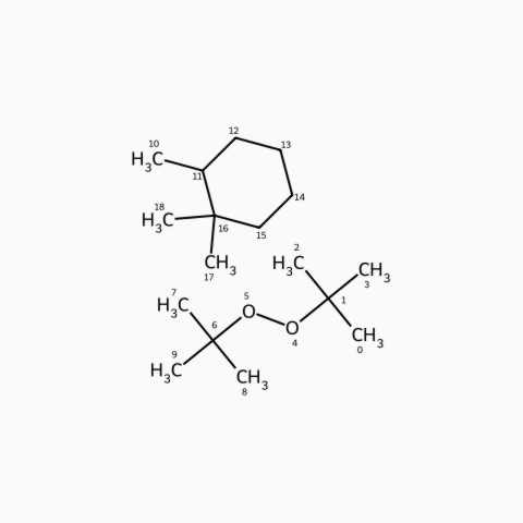 CC(C)(C)OOC(C)(C)C.CC1CCCCC1(C)C